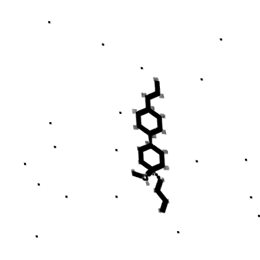 CCCC[C@]1(OC)CC[C@@H](C2CCC(CCC)CC2)CC1